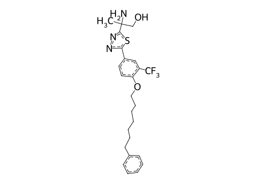 CC(N)(CO)c1nnc(-c2ccc(OCCCCCCCc3ccccc3)c(C(F)(F)F)c2)s1